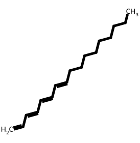 C=C/C=C/C=C/C=C/CCCCCCCCC